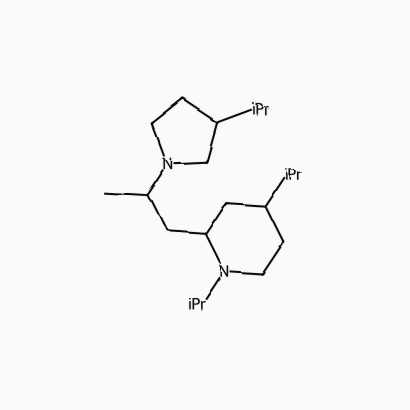 CC(C)C1CCN(C(C)C)C(CC(C)N2CCC(C(C)C)C2)C1